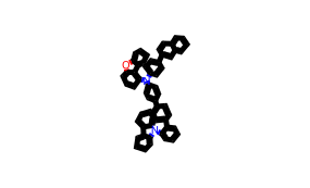 c1ccc(-n2c3ccccc3c3ccccc32)c(-c2ccc(-c3ccc(N(c4ccc(-c5ccc6ccccc6c5)cc4)c4cccc5oc6ccccc6c45)cc3)cc2)c1